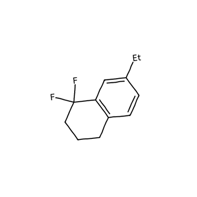 CCc1ccc2c(c1)C(F)(F)CCC2